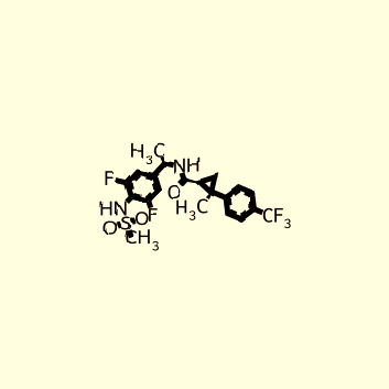 C[C@@H](NC(=O)[C@H]1C[C@]1(C)c1ccc(C(F)(F)F)cc1)c1cc(F)c(NS(C)(=O)=O)c(F)c1